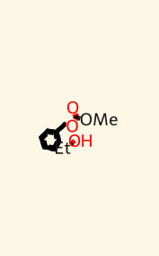 CCO.COC(=O)OCc1ccccc1